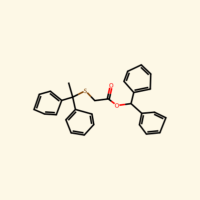 CC(SCC(=O)OC(c1ccccc1)c1ccccc1)(c1ccccc1)c1ccccc1